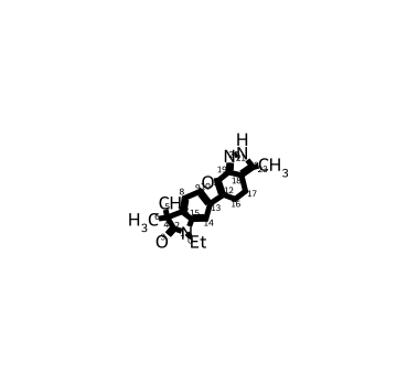 CCN1C(=O)C(C)(C)c2cc3oc4c(c3cc21)CCc1c-4n[nH]c1C